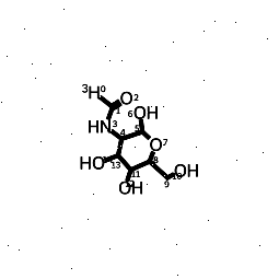 [3H]C(=O)NC1C(O)OC(CO)C(O)C1O